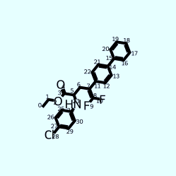 CCOC(=O)C(CC(=C(F)F)c1ccc(-c2ccccc2)cc1)Nc1ccc(Cl)cc1